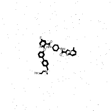 CC1=CC=CC2=NC(C(=O)N[C@H]3CC[C@@H](NC(=O)c4cc(F)cnc4Oc4cccc(-c5ccc(CN(C)CCO)cc5)c4)CC3)CN12